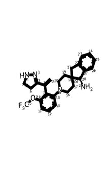 C=C(C1=NNCC1)c1c(OC(F)(F)F)cccc1N1CCC2(CC1)Cc1ccccc1[C@H]2N